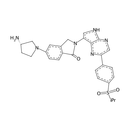 CC(C)S(=O)(=O)c1ccc(-c2cnc3[nH]cc(N4Cc5cc(N6CC[C@H](N)C6)ccc5C4=O)c3n2)cc1